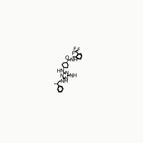 CNc1nc(NC[C@H](C)c2ccccc2)nc(N[C@H]2CC[C@H](C(=O)NCc3ccccc3C(F)(F)F)CC2)n1